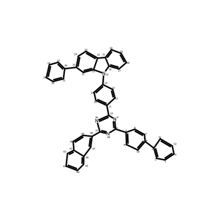 c1ccc(-c2ccc(-c3nc(-c4ccc(-n5c6ccccc6c6ccc(-c7ccccc7)cc65)cc4)nc(-c4ccc5ccccc5c4)n3)cc2)cc1